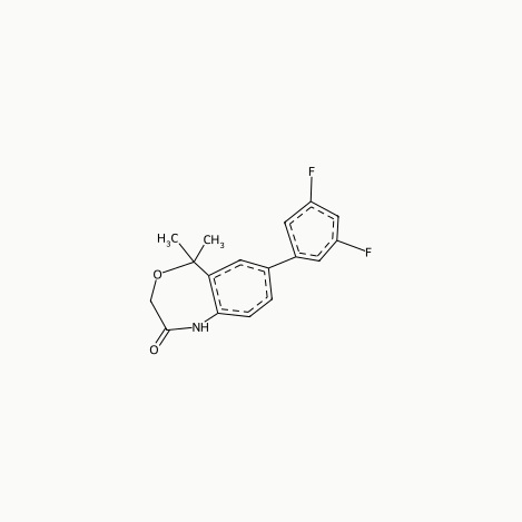 CC1(C)OCC(=O)Nc2ccc(-c3cc(F)cc(F)c3)cc21